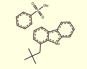 CC(C)(C)Cc1cccc2c1[nH]c1ccccc12.O=S(=O)(O)c1ccccc1